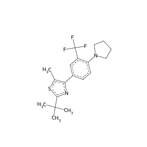 Cc1sc(C(C)(C)C)nc1-c1ccc(N2CCCC2)c(C(F)(F)F)c1